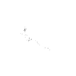 CCN(C)S(=O)(=O)Nc1ccc(F)c(Oc2ccc3ncn([C@H]4CCC5(CCN(C(=O)CN6CCC(c7ccc(C8CCC(=O)NC8=O)cc7F)C(F)(F)C6)CC5)C4)c(=O)c3c2)c1C#N